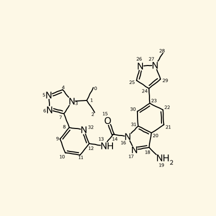 CC(C)n1cnnc1-c1cccc(NC(=O)n2nc(N)c3ccc(-c4cnn(C)c4)cc32)n1